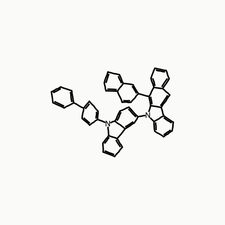 c1ccc(-c2ccc(-n3c4ccccc4c4cc(-n5c6ccccc6c6cc7ccccc7c(-c7ccc8ccccc8c7)c65)ccc43)cc2)cc1